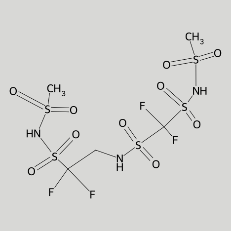 CS(=O)(=O)NS(=O)(=O)C(F)(F)CNS(=O)(=O)C(F)(F)S(=O)(=O)NS(C)(=O)=O